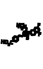 Cl.NCc1cn(CCc2ccc(C(=O)O)cc2)c(=S)n1[C@H]1CCc2c(F)cc(F)cc2C1